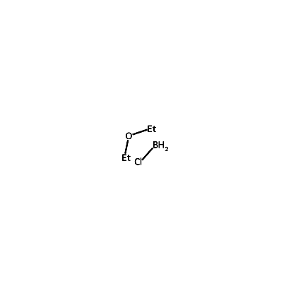 BCl.CCOCC